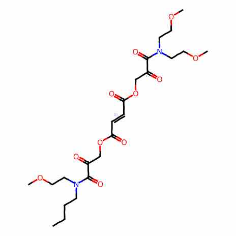 CCCCN(CCOC)C(=O)C(=O)COC(=O)/C=C/C(=O)OCC(=O)C(=O)N(CCOC)CCOC